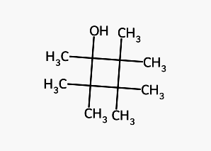 CC1(C)C(C)(C)C(C)(O)C1(C)C